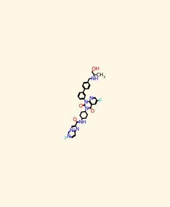 C[C@H](CO)NCc1ccc(-c2cccc(-n3c(=O)n(C4CCC(NC(=O)C5=C[N+]6CN(F)C=CC6=N5)CC4)c(=O)c4cc(F)cnc43)c2)cc1